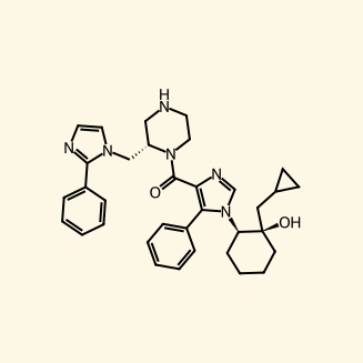 O=C(c1ncn([C@@H]2CCCC[C@@]2(O)CC2CC2)c1-c1ccccc1)N1CCNC[C@H]1Cn1ccnc1-c1ccccc1